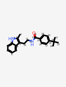 Cc1[nH]c2ccccc2c1CCNC(=O)c1ccc(C(C)(C)C)cc1